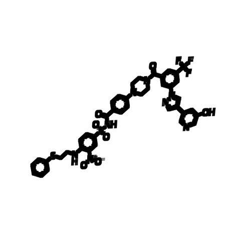 O=C(NS(=O)(=O)c1ccc(NCCSc2ccccc2)c([N+](=O)[O-])c1)c1ccc(N2CCN(C(=O)c3cc(-n4cc(-c5cncc(O)c5)cn4)cc(C(F)(F)F)c3)CC2)cc1